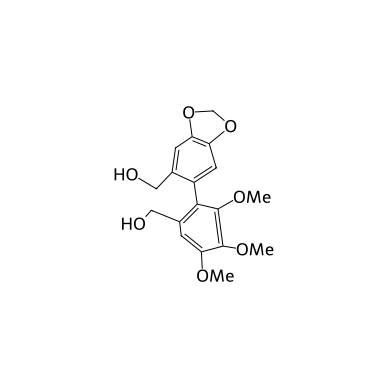 COc1cc(CO)c(-c2cc3c(cc2CO)OCO3)c(OC)c1OC